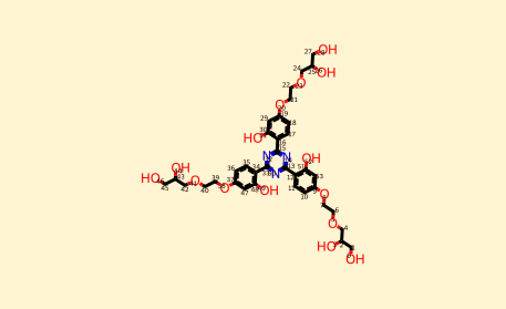 OCC(O)COCCOc1ccc(-c2nc(-c3ccc(OCCOCC(O)CO)cc3O)nc(-c3ccc(OCCOCC(O)CO)cc3O)n2)c(O)c1